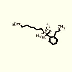 C=CCc1ccccc1C(CC)(CC)[N+](C)(C)CCCCCCCCCCCCCCCC